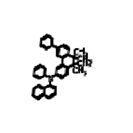 CC1(C)c2ccc(-c3ccccc3)cc2-c2cc(N(c3ccccc3)c3cccc4ccccc34)ccc2C1(C)C